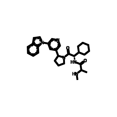 CNC(C)C(=O)N[C@H](C(=O)N1CCCC1c1cncc(-n2ccc3ccccc32)c1)C1CCCCC1